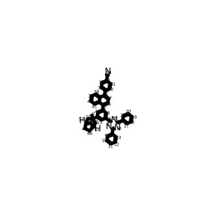 CC1(c2cc(-c3nc(-c4ccccc4)nc(-c4ccccc4)n3)cc(-c3ccc(-c4ccc(C#N)cc4)c4ccccc34)c2)C[C@@H]2CC[C@@H](C2)C1